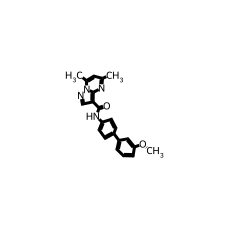 COc1cccc(-c2ccc(NC(=O)c3cnn4c(C)cc(C)nc34)cc2)c1